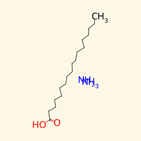 CCCCCCCCCCCCCCCCCC(=O)O.N.N